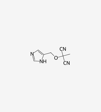 CC(C#N)(C#N)OCc1cnc[nH]1